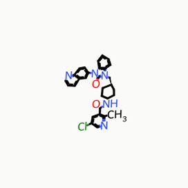 Cc1ncc(Cl)cc1C(=O)N[C@H]1CC[C@H](Cn2c(=O)n(-c3ccc4ncccc4c3)c3ccccc32)CC1